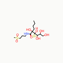 CCCCC(O)(C(=O)NCCCS(C)(=O)=O)C(O)(S)C(O)C(O)CO